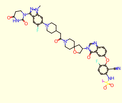 Cn1nc(N2CCC(=O)NC2=O)c2cc(F)c(N3CCC(CC(=O)N4CCC5(CC4)C[C@@H](n4cnc6ccc(Oc7c(F)ccc(NS(=O)(=O)I)c7C#N)cc6c4=O)CO5)CC3)cc21